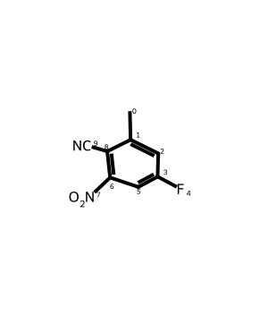 Cc1cc(F)cc([N+](=O)[O-])c1C#N